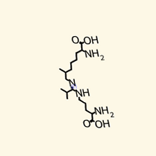 CC(CCCCC(N)C(=O)O)C/N=C(/NCCCC(N)C(=O)O)C(C)C